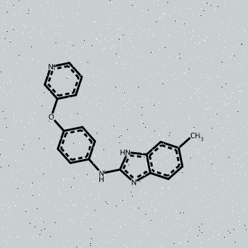 Cc1ccc2nc(Nc3ccc(Oc4cccnc4)cc3)[nH]c2c1